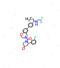 C/C=C(/NCC(F)F)c1ccc(-c2ccc3c(c2)CN(C(=O)N2CCC(=O)CC2c2cccc(F)c2)CCO3)cc1